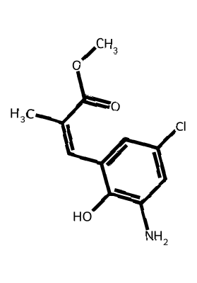 COC(=O)C(C)=Cc1cc(Cl)cc(N)c1O